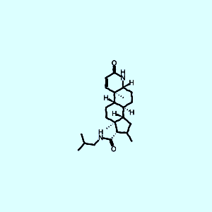 CC(C)CNC(=O)[C@H]1C(C)C[C@H]2[C@@H]3CC[C@H]4NC(=O)C=C[C@]4(C)[C@H]3CC[C@]12C